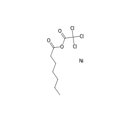 CCCCCCC(=O)OC(=O)C(Cl)(Cl)Cl.[Ni]